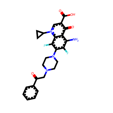 Nc1c(F)c(N2CCN(CC(=O)c3ccccc3)CC2)c(F)c2c1c(=O)c(C(=O)O)cn2C1CC1